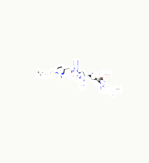 COc1ccc(CC(=O)Nc2cc([C@H]3CC[C@@H]([C@@]4(C)[C@H](O)CN4C(=O)O)C3)[nH]n2)cn1